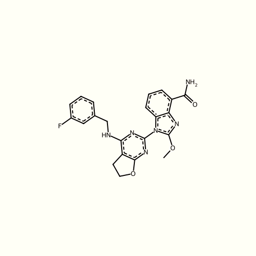 COc1nc2c(C(N)=O)cccc2n1-c1nc(NCc2cccc(F)c2)c2c(n1)OCC2